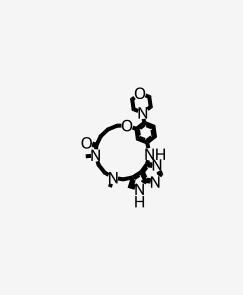 CN1CCN(C)C(=O)CCCOc2cc(ccc2N2CCOCC2)Nc2ncnc3[nH]cc(c23)C1